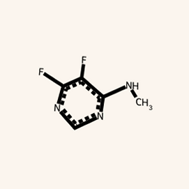 CNc1ncnc(F)c1F